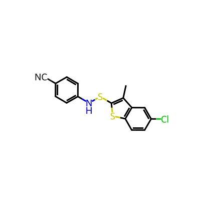 Cc1c(SNc2ccc(C#N)cc2)sc2ccc(Cl)cc12